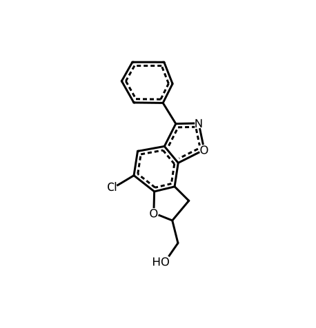 OCC1Cc2c(c(Cl)cc3c(-c4ccccc4)noc23)O1